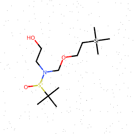 CC(C)(C)[S+]([O-])N(CCO)COCC[Si](C)(C)C